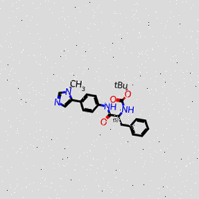 Cn1cncc1-c1ccc(NC(=O)[C@H](Cc2ccccc2)NC(=O)OC(C)(C)C)cc1